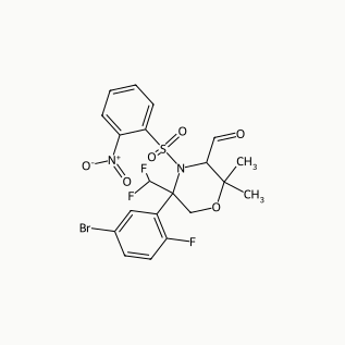 CC1(C)OCC(c2cc(Br)ccc2F)(C(F)F)N(S(=O)(=O)c2ccccc2[N+](=O)[O-])C1C=O